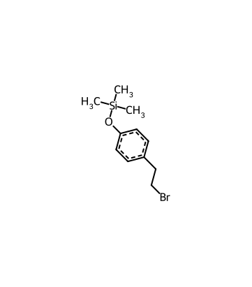 C[Si](C)(C)Oc1ccc(CCBr)cc1